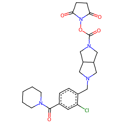 O=C(ON1C(=O)CCC1=O)N1CC2CN(Cc3ccc(C(=O)N4CCCCC4)cc3Cl)CC2C1